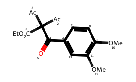 CCOC(=O)C(C(C)=O)(C(C)=O)C(=O)c1ccc(OC)c(OC)c1